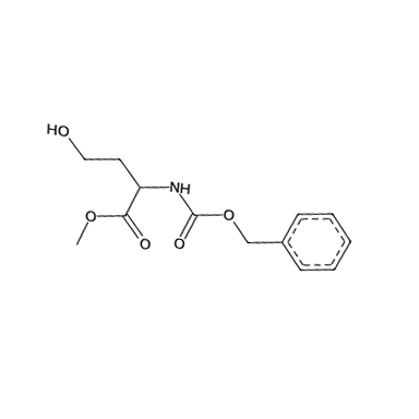 COC(=O)C(CCO)NC(=O)OCc1ccccc1